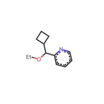 CCOC(c1ccccn1)C1CCC1